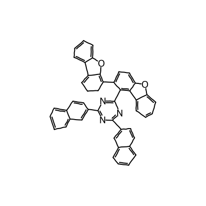 C1=c2c(oc3ccccc23)=C(c2ccc3oc4ccccc4c3c2-c2nc(-c3ccc4ccccc4c3)nc(-c3ccc4ccccc4c3)n2)CC1